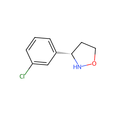 Clc1cccc([C@@H]2CCON2)c1